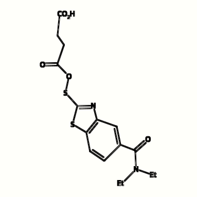 CCN(CC)C(=O)c1ccc2sc(SOC(=O)CCC(=O)O)nc2c1